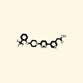 O=C(O)Cc1cncc(-c2ccc(N3CCC(Oc4ccccc4C(F)(F)F)CC3)nn2)c1